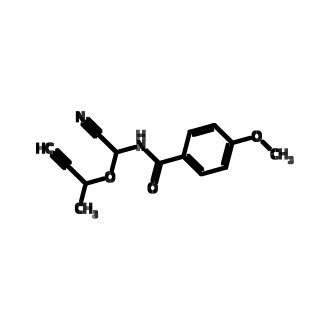 C#CC(C)OC(C#N)NC(=O)c1ccc(OC)cc1